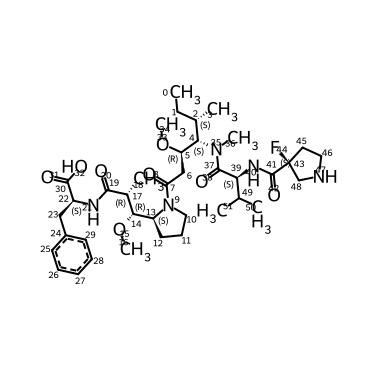 CC[C@H](C)[C@@H]([C@@H](CC(=O)N1CCC[C@H]1[C@H](OC)[C@@H](C)C(=O)N[C@@H](Cc1ccccc1)C(=O)O)OC)N(C)C(=O)[C@@H](NC(=O)[C@]1(F)CCNC1)C(C)C